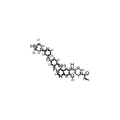 C=CC(=O)N1CCC(Nc2cc3c(Nc4ccc(Oc5ccnc(N6C[C@@H](C)N[C@@H](C)C6)c5)cc4F)ncnc3cc2OC)CC1